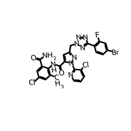 Cc1cc(Cl)cc(C(N)=O)c1NC(=O)c1cc(Cn2nnc(-c3ccc(Br)cc3F)n2)nn1-c1ncccc1Cl